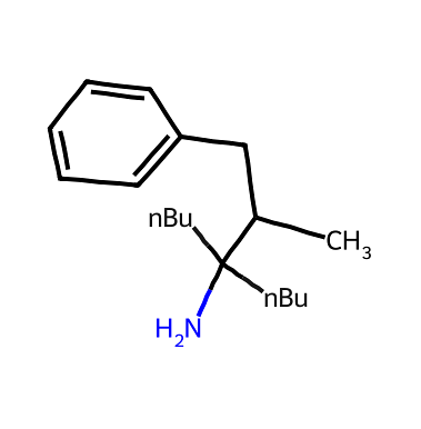 CCCCC(N)(CCCC)C(C)Cc1ccccc1